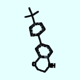 CC(C)(C)c1ccc(-c2ccc3c(c2)OCCN3)cc1